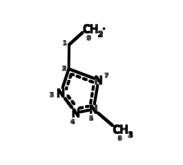 [CH2]Cc1nnn(C)n1